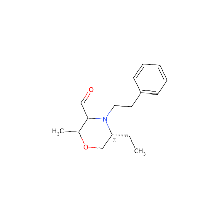 CC[C@@H]1COC(C)C(C=O)N1CCc1ccccc1